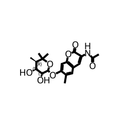 CC(=O)Nc1cc2cc(C)c(OC3OC(C)(C)[C@H](C)[C@H](O)[C@@H]3O)cc2oc1=O